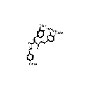 COc1ccc(/C=C/C(=O)/C(=C/c2ccc(OC)c(OC)c2)C(=O)/C=C/c2ccc(OC)c(OC)c2)cc1